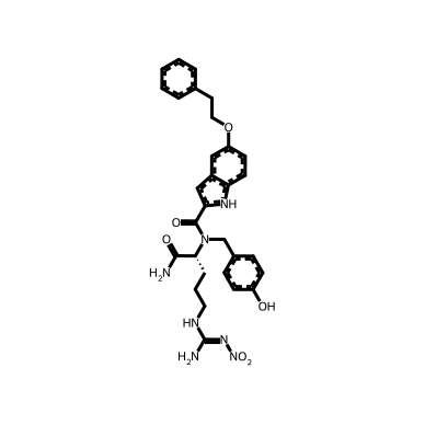 NC(=O)[C@@H](CCCNC(N)=N[N+](=O)[O-])N(Cc1ccc(O)cc1)C(=O)c1cc2cc(OCCc3ccccc3)ccc2[nH]1